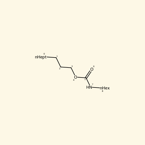 CCCCCCCCCCOC(=O)NCCCCCC